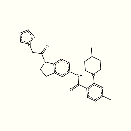 Cc1ccc(C(=O)Nc2ccc3c(c2)CCN3C(=O)Cn2cccn2)c(N2CCC(C)CC2)n1